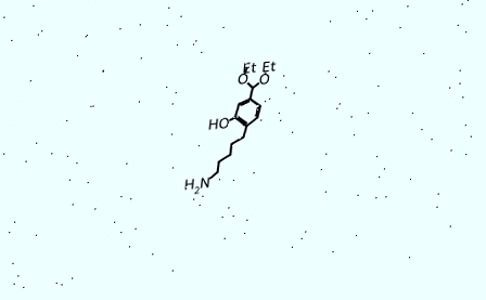 CCOC(OCC)c1ccc(CCCCCN)c(O)c1